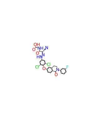 N#CC(=NNc1cc(Cl)c(Oc2ccc3c(c2)CCN(c2cccc(F)c2)C3=O)c(Cl)c1)C(=O)NC(=O)O